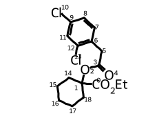 CCOC(=O)C1(OC(=O)Cc2ccc(Cl)cc2Cl)CCCCC1